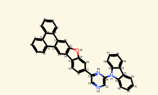 c1ccc2c(c1)c1ccccc1c1cc3c(cc21)oc1cc(-c2cncc(-n4c5ccccc5c5ccccc54)n2)ccc13